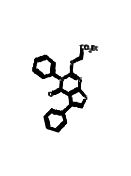 CCOC(=O)CSc1nc2scc(-c3ccccc3)c2c(=O)n1-c1ccccc1